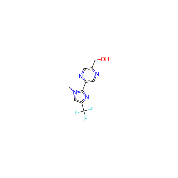 Cn1cc(C(F)(F)F)nc1-c1cnc(CO)cn1